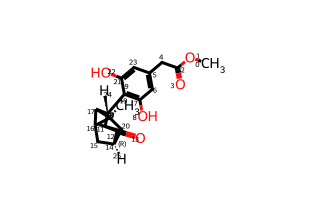 COC(=O)Cc1cc(O)c([C@@H]2CC(=O)[C@@H]3CC4C2[C@@]4(C)C3)c(O)c1